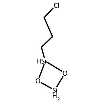 ClCCC[SiH]1O[SiH2]O1